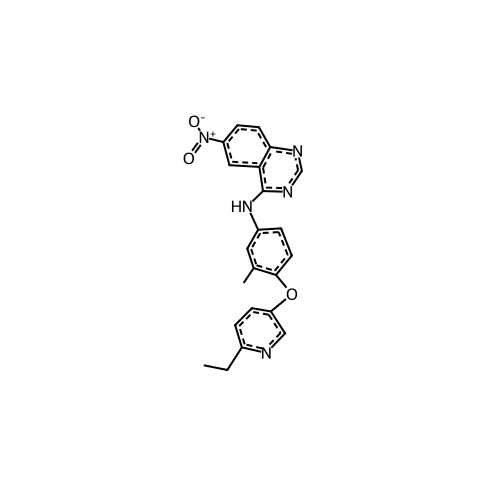 CCc1ccc(Oc2ccc(Nc3ncnc4ccc([N+](=O)[O-])cc34)cc2C)cn1